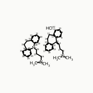 CN(C)CCC=C1c2ccccc2CCc2ccccc21.CN(C)CCCN1c2ccccc2CCc2ccccc21.Cl